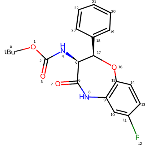 CC(C)(C)OC(=O)N[C@@H]1C(=O)Nc2cc(F)ccc2O[C@@H]1c1ccccc1